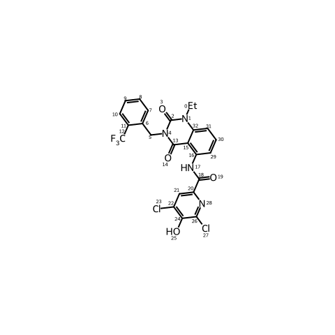 CCn1c(=O)n(Cc2ccccc2C(F)(F)F)c(=O)c2c(NC(=O)c3cc(Cl)c(O)c(Cl)n3)cccc21